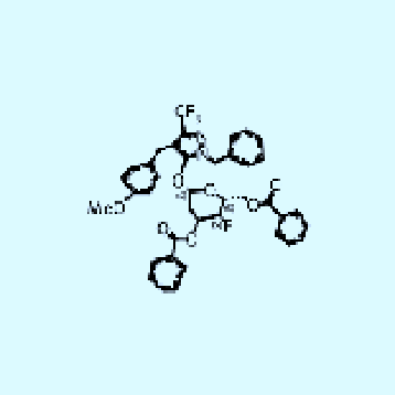 COc1ccc(Cc2c(C(F)(F)F)nn(Cc3ccccc3)c2O[C@H]2CC(OC(=O)c3ccccc3)[C@H](F)[C@@H](COC(=O)c3ccccc3)O2)cc1